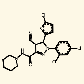 O=CC1C(C(=O)NN2CCCCC2)=NN(c2ccc(Cl)cc2Cl)C1c1ccc(Cl)s1